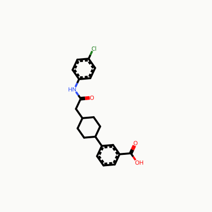 O=C(CC1CCC(c2cccc(C(=O)O)c2)CC1)Nc1ccc(Cl)cc1